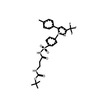 Cc1ccc(-c2cc(C(F)(F)F)nn2-c2ccc(S(=O)(=O)NC(=O)CCNC(=O)OC(C)(C)C)cc2)cc1